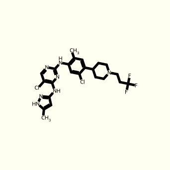 Cc1cc(Nc2nc(Nc3cc(Cl)c(C4CCN(CCC(F)(F)F)CC4)cc3C)ncc2Cl)n[nH]1